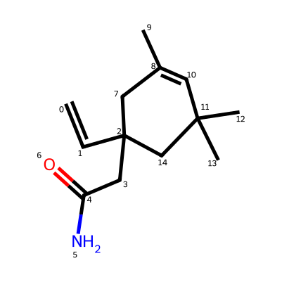 C=CC1(CC(N)=O)CC(C)=CC(C)(C)C1